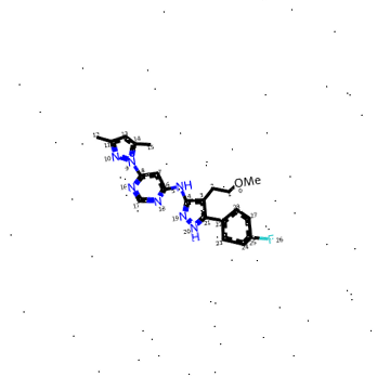 COCCc1c(Nc2cc(-n3nc(C)cc3C)ncn2)n[nH]c1-c1ccc(F)cc1